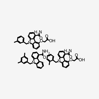 Cc1cc(C)cc(Cn2c3ccc[c]c3c3c(C(N)=O)cccc32)c1.Cc1cccc(Cn2c3cccc(OCC(=O)O)c3c3c(C(N)=O)cccc32)c1.Cc1ccccc1Cn1c2cccc(OCC(=O)O)c2c2c(C(N)=O)cccc21